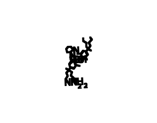 CCCCC(C)(CCCC)c1cc(C)c(O)c(/C=N/[C@H]2CCCC[C@@H]2/N=C/c2cc(C(C)(CCCN)CCCN)cc(C)c2O)c1